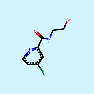 O=C(NCCO)c1cc(Cl)ccn1